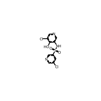 O=S(=O)(Nc1cncc(Cl)c1O)c1cncc(Cl)c1